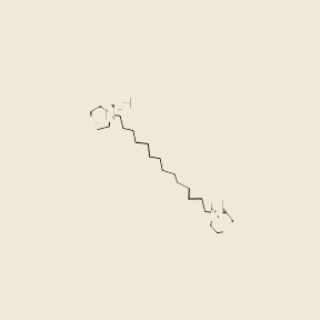 C[N+]1(CCCCCCCCCCCCCC[N+]2(C)CCOCC2)CCOCC1